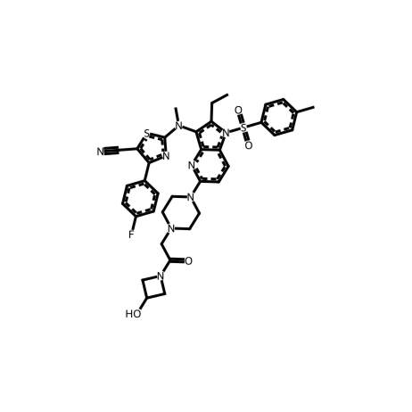 CCc1c(N(C)c2nc(-c3ccc(F)cc3)c(C#N)s2)c2nc(N3CCN(CC(=O)N4CC(O)C4)CC3)ccc2n1S(=O)(=O)c1ccc(C)cc1